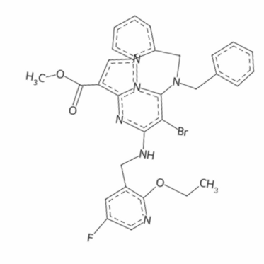 CCOc1ncc(F)cc1CNc1nc2c(C(=O)OC)cnn2c(N(Cc2ccccc2)Cc2ccccc2)c1Br